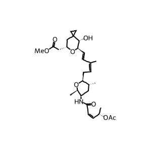 COC(=O)C[C@@H]1CC2(CC2)[C@H](O)[C@@H](/C=C/C(C)=C\C[C@@H]2O[C@H](C)[C@H](NC(=O)/C=C\[C@H](C)OC(C)=O)C[C@H]2C)O1